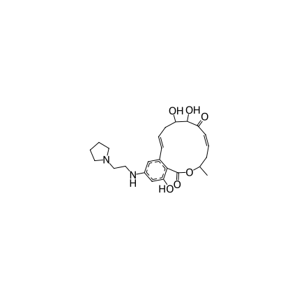 CC1C/C=C\C(=O)C(O)C(O)C/C=C/c2cc(NCCN3CCCC3)cc(O)c2C(=O)O1